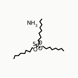 CCCCCCCCOP(=S)(OCCCCCCCC)OCCCCCCCC.N